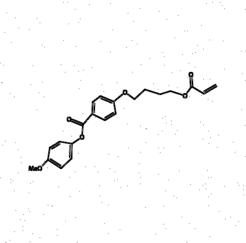 C=CC(=O)OCCCCOc1ccc(C(=O)Oc2ccc(OC)cc2)cc1